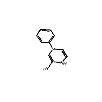 CCCC1=CN(c2ccccc2)C=CN1